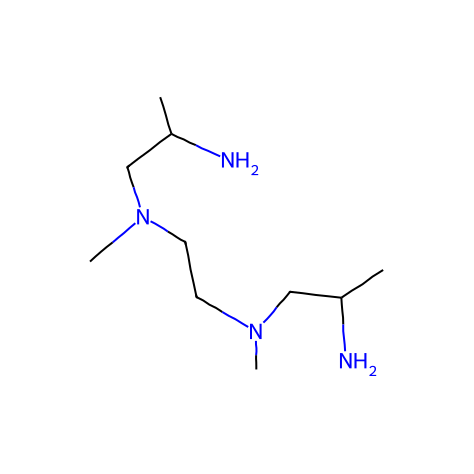 CC(N)CN(C)CCN(C)CC(C)N